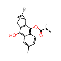 C=C(C)C(=O)Oc1c2c(c(O)c3cc(C)ccc13)C1C=C(CC)C2C1